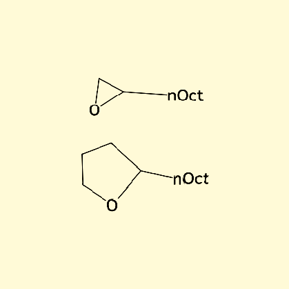 CCCCCCCCC1CCCO1.CCCCCCCCC1CO1